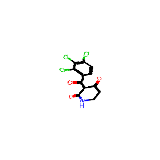 O=C1CCNC(=O)C1C(=O)c1ccc(Cl)c(Cl)c1Cl